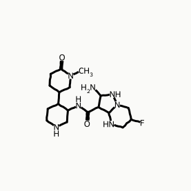 CN1CC(C2CCNCC2NC(=O)C2C(N)NN3CC(F)CNC23)CCC1=O